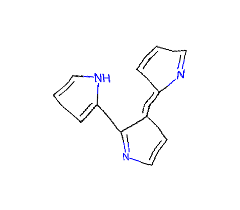 C1=CC(=C2C=CN=C2c2ccc[nH]2)N=C1